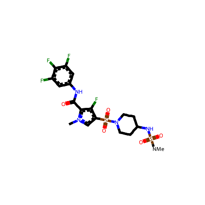 CNS(=O)(=O)NC1CCN(S(=O)(=O)c2cn(C)c(C(=O)Nc3cc(F)c(F)c(F)c3)c2F)CC1